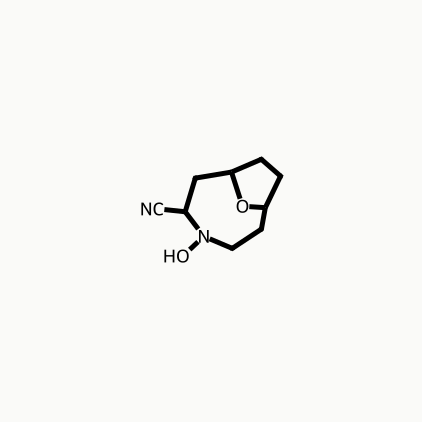 N#CC1CC2CCC(CCN1O)O2